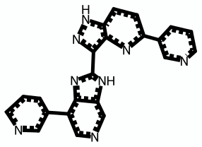 c1cncc(-c2ccc3[nH]nc(-c4nc5c(-c6cccnc6)cncc5[nH]4)c3n2)c1